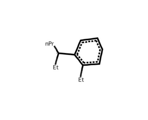 CCC[C](CC)c1ccccc1CC